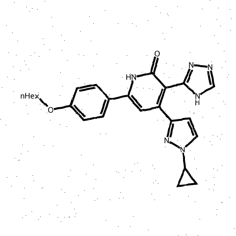 CCCCCCOc1ccc(-c2cc(-c3ccn(C4CC4)n3)c(-c3nnc[nH]3)c(=O)[nH]2)cc1